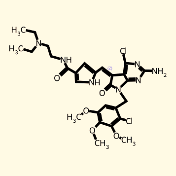 CCN(CC)CCNC(=O)c1c[nH]c(/C=C2\C(=O)N(Cc3cc(OC)c(OC)c(OC)c3Cl)c3nc(N)nc(Cl)c32)c1